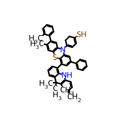 C=C/C=C\C1=C(C)C(C)(C)c2cccc(-c3cc(-c4ccccc4)cc4c3Sc3cc(C)c(-c5ccccc5C)cc3N4C3=CC=C(S)CC3)c2N1